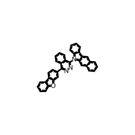 c1ccc2cc3c(cc2c1)c1ccccc1n3-c1nnc(-c2ccc3c(c2)oc2ccccc23)c2ccccc12